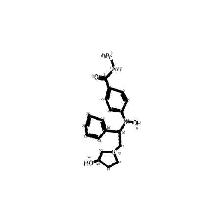 CCCNC(=O)c1ccc(N(O)C(CN2CCC(O)C2)c2ccccc2)cc1